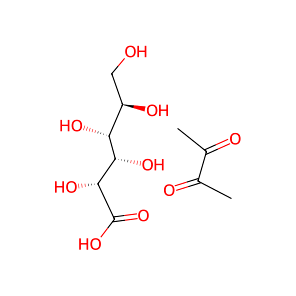 CC(=O)C(C)=O.O=C(O)[C@H](O)[C@@H](O)[C@H](O)[C@H](O)CO